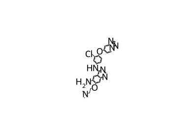 CN(C)CCOc1cc2ncnc(Nc3ccc(Oc4ccn5ncnc5c4)c(Cl)c3)c2cc1N